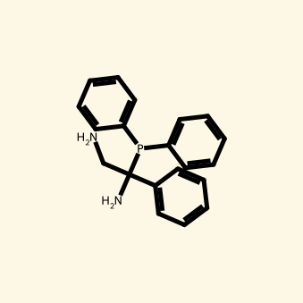 NCC(N)(c1ccccc1)P(c1ccccc1)c1ccccc1